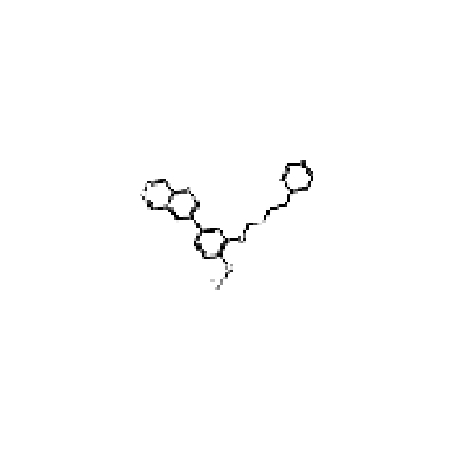 COc1ccc(-c2cnc3ccncc3c2)cc1OCCCCc1ccccc1